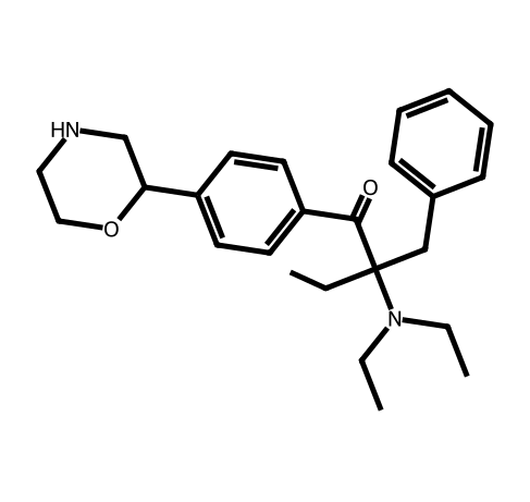 CCN(CC)C(CC)(Cc1ccccc1)C(=O)c1ccc(C2CNCCO2)cc1